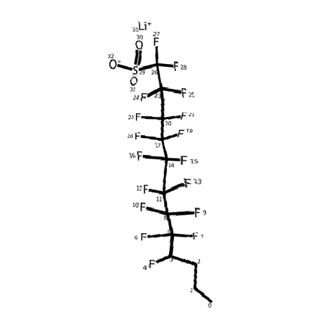 CCCC(F)C(F)(F)C(F)(F)C(F)(F)C(F)(F)C(F)(F)C(F)(F)C(F)(F)C(F)(F)S(=O)(=O)[O-].[Li+]